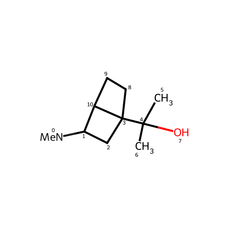 CNC1CC2(C(C)(C)O)CCC12